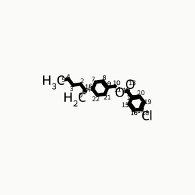 C=C(CCCC)[C@@H]1CC=C(COC(=O)c2ccc(Cl)cc2)CC1